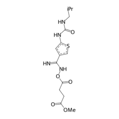 COC(=O)CCC(=O)ONC(=N)c1csc(NC(=O)NCC(C)C)c1